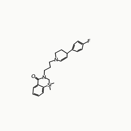 C[Si]1(C)CN(CCCN2C=CC(c3ccc(F)cc3)CC2)C(=O)c2ccccc21